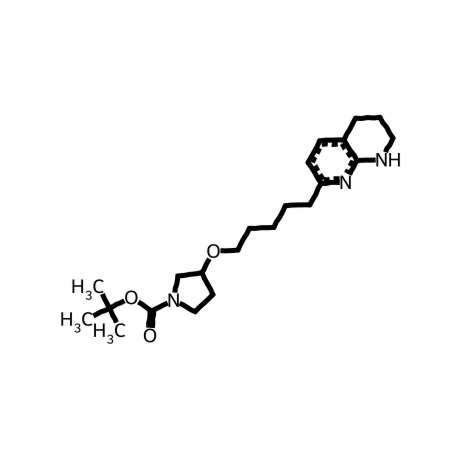 CC(C)(C)OC(=O)N1CCC(OCCCCCc2ccc3c(n2)NCCC3)C1